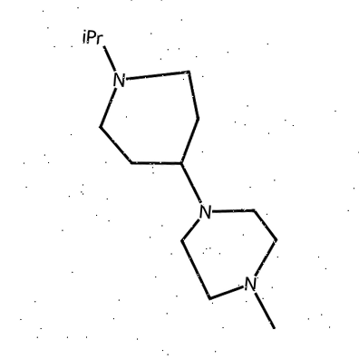 CC(C)N1CCC(N2CCN(C)CC2)CC1